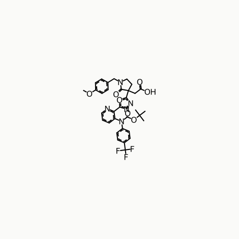 COc1ccc(CN2CCC(CC(=O)O)(c3nnc(-c4ncccc4N(C(=O)OC(C)(C)C)c4ccc(C(F)(F)F)cc4)o3)C2=O)cc1